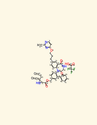 Cc1nccc(OCCCc2ccc3c(c2)C(=O)NCC(=O)N3c2ccc(COC(=O)C3NC3(C=O)CC=O)cc2-c2ccccc2)n1.O=C(O)C(F)(F)F